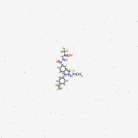 Cc1nc2c(s1)c1cc(C(=O)NC[C@@H](O)C(F)(F)F)ccc1n2-c1ccc(C(F)(F)F)cc1